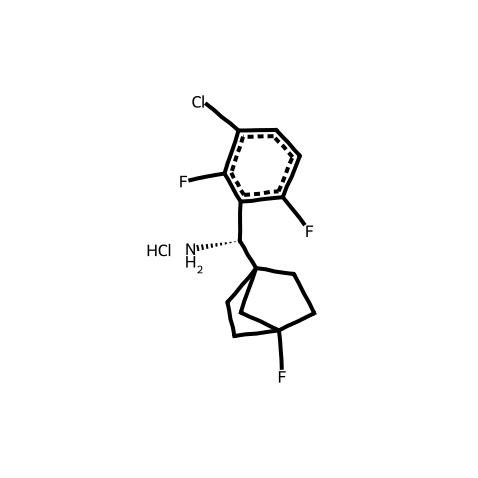 Cl.N[C@H](c1c(F)ccc(Cl)c1F)C12CCC(F)(CC1)C2